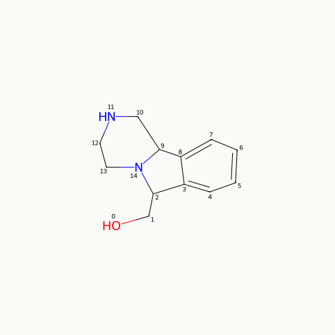 OCC1c2ccccc2C2CNCCN12